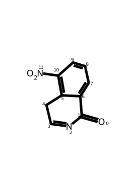 O=C1N=CCc2c1cccc2[N+](=O)[O-]